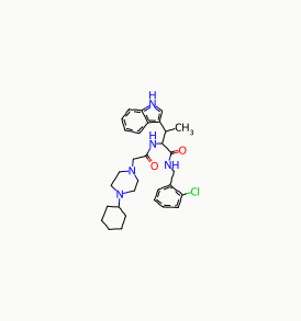 CC(c1c[nH]c2ccccc12)C(NC(=O)CN1CCN(C2CCCCC2)CC1)C(=O)NCc1ccccc1Cl